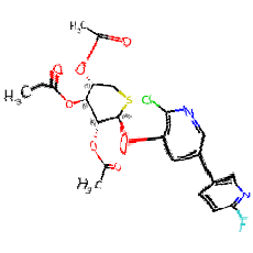 CC(=O)O[C@@H]1[C@@H](OC(C)=O)[C@H](OC(C)=O)CS[C@H]1Oc1cc(-c2ccc(F)nc2)cnc1Cl